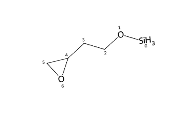 [SiH3]OCCC1CO1